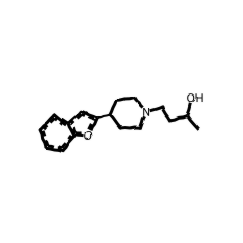 CC(O)CCN1CCC(c2cc3ccccc3o2)CC1